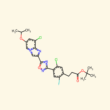 CC(C)Oc1cc(Cl)c2nc(-c3nc(-c4cc(F)c(CCC(=O)OC(C)(C)C)cc4Cl)no3)cn2c1